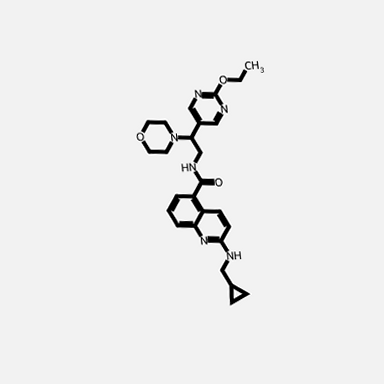 CCOc1ncc(C(CNC(=O)c2cccc3nc(NCC4CC4)ccc23)N2CCOCC2)cn1